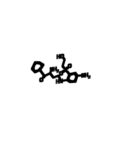 Nc1ccc(NCCC(N)C(=O)c2ccccc2)c(S(=O)(=O)CCO)c1